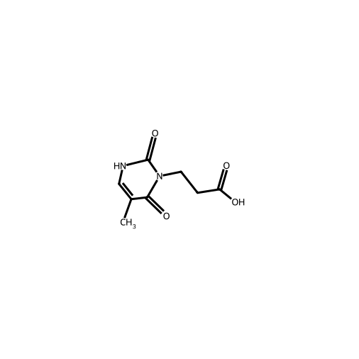 Cc1c[nH]c(=O)n(CCC(=O)O)c1=O